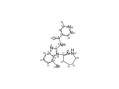 Cc1cc(C(=O)Nc2nc3cccc(Br)c3n2C2=NNCCCC2)cnn1